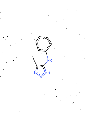 Cc1nn[nH]c1Nc1ccccc1